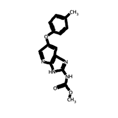 COC(=O)Nc1nc2cc(Oc3ccc(C)cc3)cnc2[nH]1